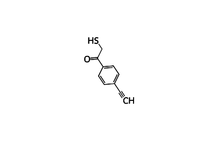 C#Cc1ccc(C(=O)CS)cc1